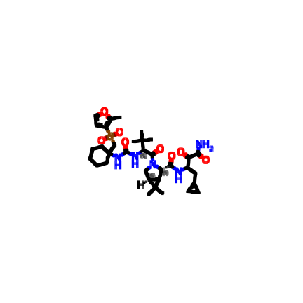 Cc1occc1S(=O)(=O)CC1(NC(=O)N[C@H](C(=O)N2C[C@H]3C([C@H]2C(=O)NC(CC2CC2)C(=O)C(N)=O)C3(C)C)C(C)(C)C)CCCCC1